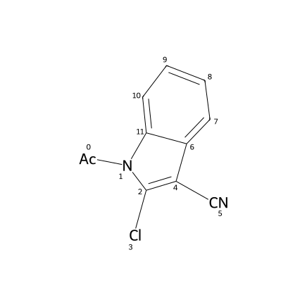 CC(=O)n1c(Cl)c(C#N)c2ccccc21